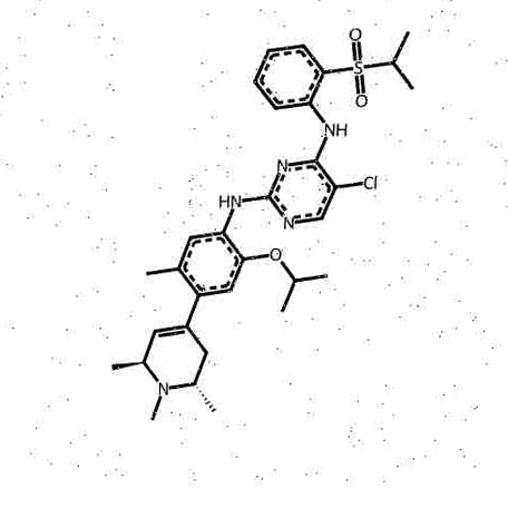 Cc1cc(Nc2ncc(Cl)c(Nc3ccccc3S(=O)(=O)C(C)C)n2)c(OC(C)C)cc1C1=C[C@H](C)N(C)[C@@H](C)C1